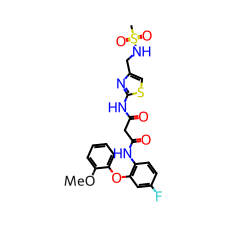 COc1ccccc1Oc1cc(F)ccc1NC(=O)CC(=O)Nc1nc(CNS(C)(=O)=O)cs1